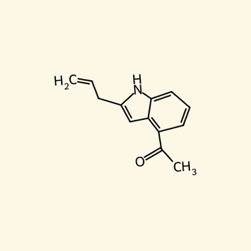 C=CCc1cc2c(C(C)=O)cccc2[nH]1